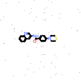 O=C(Nc1cnc2ccccc2c1)c1ccc(N2CCSCC2)cc1